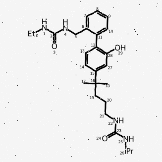 CCNC(=O)NCc1ccccc1-c1ccc(C(C)(C)CCCNC(=O)NC(C)C)cc1O